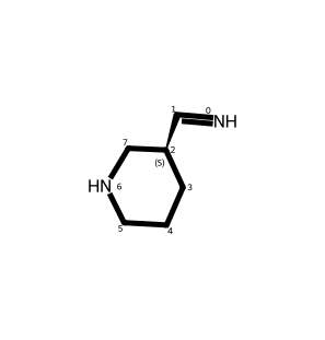 N=C[C@H]1CCCNC1